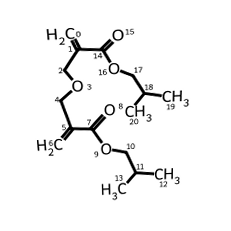 C=C(COCC(=C)C(=O)OCC(C)C)C(=O)OCC(C)C